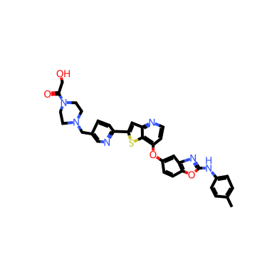 Cc1ccc(Nc2nc3cc(Oc4ccnc5cc(-c6ccc(CN7CCN(C(=O)CO)CC7)cn6)sc45)ccc3o2)cc1